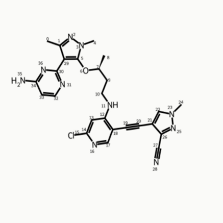 Cc1nn(C)c(O[C@@H](C)CCNc2cc(Cl)ncc2C#Cc2cn(C)nc2C#N)c1-c1nccc(N)n1